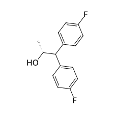 C[C@@H](O)C(c1ccc(F)cc1)c1ccc(F)cc1